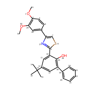 COc1ccc(-c2csc(-c3cc(C(C)(C)C)cc(-c4ccccc4)c3O)n2)cc1OC